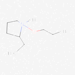 CCCO[N+]1(C)CCCC1CC